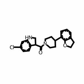 O=C(C1CNc2cc(Cl)ccc21)N1CCC(c2cccc3c2OCC3)CC1